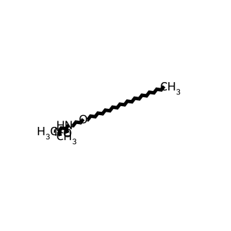 CCCCCCCCCCCCCCCCCCCCCCOCCCNC(=O)CN(C)C